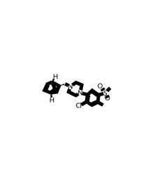 Cc1cc(Cl)c(N2CCN(C[C@@H]3C[C@@H]4C=C[C@H]3C4)CC2)cc1S(C)(=O)=O